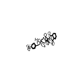 O=C1c2ccccc2C(=O)N1C1C(=O)N2CC(O)(C(=O)OCc3ccc([N+](=O)[O-])cc3)CS[C@H]12